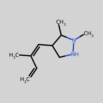 C=C/C(C)=C\C1CNN(C)C1C